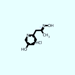 C/C(Cc1ccc(O)cn1)=N\O.Cl